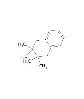 CC1(C)Cc2c[c]ccc2CC1(C)C